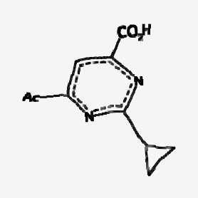 CC(=O)c1cc(C(=O)O)nc(C2CC2)n1